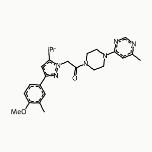 COc1ccc(-c2cc(C(C)C)n(CC(=O)N3CCN(c4cc(C)ncn4)CC3)n2)cc1C